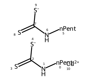 CCCCCNC(=S)[S-].CCCCCNC(=S)[S-].[Cd+2]